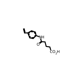 C=Cc1ccc(NC(=O)CCCC(=O)O)cc1